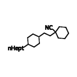 CCCCCCCC1CCC(CCC2(C#N)CCCCC2)CC1